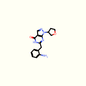 Nc1ccccc1Cc1nc2c(cnn2C2CCOC2)c(=O)[nH]1